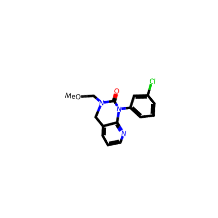 COCN1Cc2cccnc2N(c2cccc(Cl)c2)C1=O